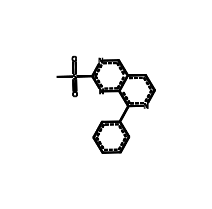 CS(=O)(=O)c1ncc2ccnc(-c3ccccc3)c2n1